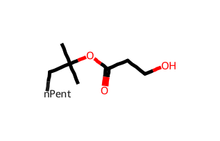 CCCCCCC(C)(C)OC(=O)CCO